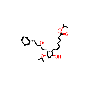 CC(C)OC(=O)CCC/C=C\C[C@@H]1[C@@H](CC[C@@H](O)CCc2ccccc2)[C@H](OC(C)C)C[C@@H]1O